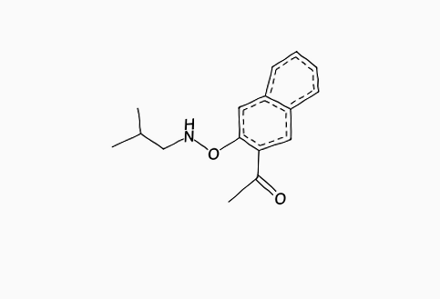 CC(=O)c1cc2ccccc2cc1ONCC(C)C